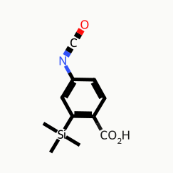 C[Si](C)(C)c1cc(N=C=O)ccc1C(=O)O